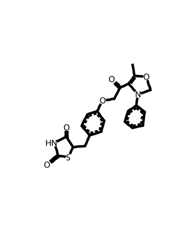 CC1=C(C(=O)COc2ccc(CC3SC(=O)NC3=O)cc2)N(c2ccccc2)CO1